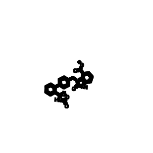 COC(=O)c1cccc2[nH]c(=O)n(Cc3ccc(-c4ccccc4-c4noc(=O)[nH]4)cc3)c12